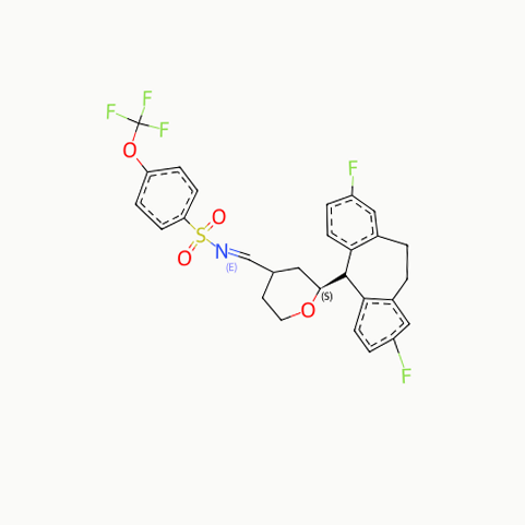 O=S(=O)(/N=C/C1CCO[C@H](C2c3ccc(F)cc3CCc3cc(F)ccc32)C1)c1ccc(OC(F)(F)F)cc1